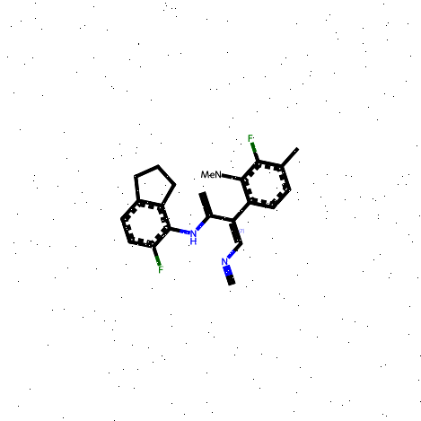 C=N/C=C(\C(=C)Nc1c(F)ccc2c1CCC2)c1ccc(C)c(F)c1NC